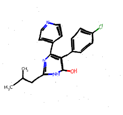 CC(C)CC1=NC(c2ccncc2)=C(c2ccc(Cl)cc2)C(O)N1